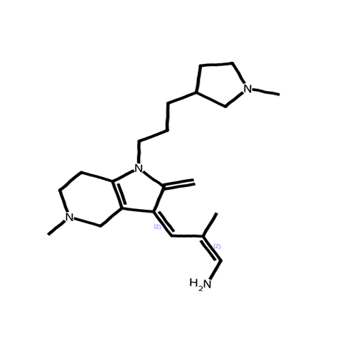 C=c1/c(=C\C(C)=C/N)c2c(n1CCCC1CCN(C)C1)CCN(C)C2